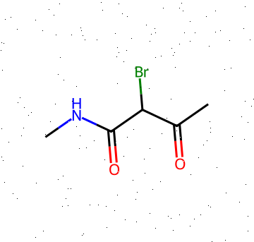 CNC(=O)C(Br)C(C)=O